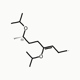 [CH2]CC=C(CC[C@H](C)OC(C)C)OC(C)C